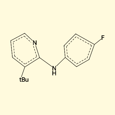 CC(C)(C)c1cccnc1Nc1ccc(F)cc1